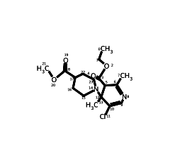 CCOC(=O)C1C(C)=NC=C(Cl)C1(C)N1CCC(C(=O)OC)CC1